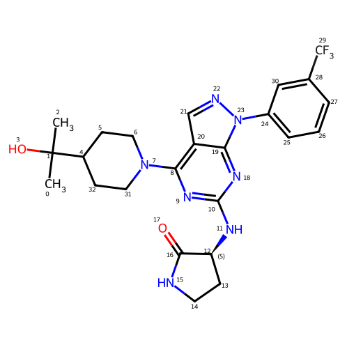 CC(C)(O)C1CCN(c2nc(N[C@H]3CCNC3=O)nc3c2cnn3-c2cccc(C(F)(F)F)c2)CC1